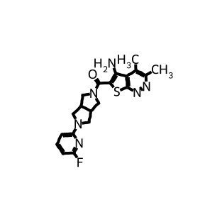 Cc1nnc2sc(C(=O)N3CC4CN(c5cccc(F)n5)CC4C3)c(N)c2c1C